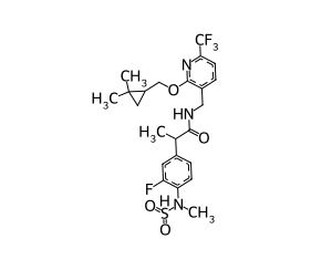 CC(C(=O)NCc1ccc(C(F)(F)F)nc1OCC1CC1(C)C)c1ccc(N(C)[SH](=O)=O)c(F)c1